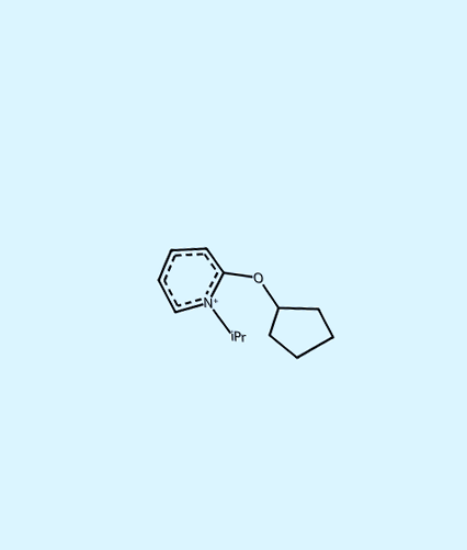 CC(C)[n+]1ccccc1OC1CCCC1